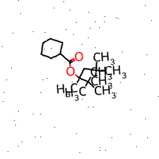 CC(C)(C)CC(C)(OC(=O)C1CCCCC1)C(C)(C)C